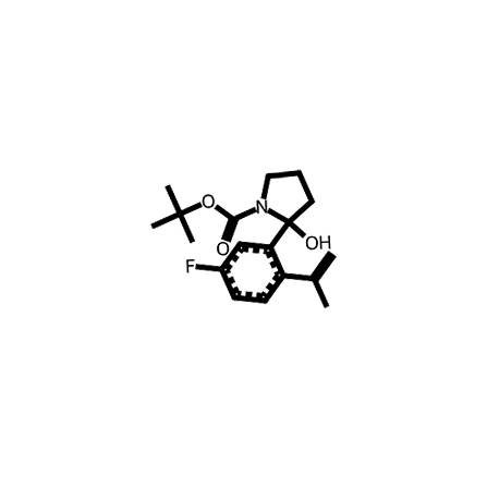 C=C(C)c1ccc(F)cc1C1(O)CCCN1C(=O)OC(C)(C)C